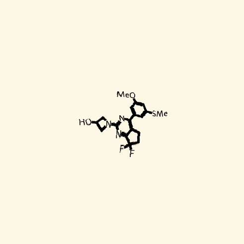 COc1cc(SC)cc(-c2nc(N3CC(O)C3)nc3c2CCC3(F)F)c1